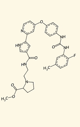 COC(=O)C1CCCN1CCNC(=O)c1c[nH]c(-c2cc(Oc3ccc(NC(=O)Nc4cc(C)ccc4F)cc3)ccn2)c1